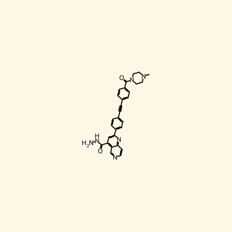 CN1CCN(C(=O)c2ccc(C#Cc3ccc(-c4cc(C(=O)NN)c5cnccc5n4)cc3)cc2)CC1